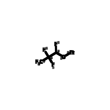 CCOC(F)C(F)(F)C(F)(F)F